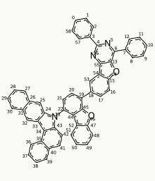 c1ccc(-c2nc(-c3ccccc3)c3oc4ccc(-c5ccc(-n6c7cc8ccccc8cc7c7c8ccccc8ccc76)c6c5oc5ccccc56)cc4c3n2)cc1